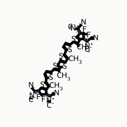 [C-]#[N+]/C(C#N)=C1/c2c(sc(-c3ccc(-c4sc5c(sc6c(C)c(-c7ccc(-c8sc9c(c8C)/C(=C(/C#N)[N+]#[C-])C(F)(F)/C9=C(\C#N)[N+]#[C-])s7)sc65)c4C)s3)c2C)/C(=C(\C#N)[N+]#[C-])C1(F)F